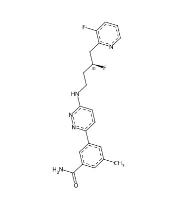 Cc1cc(C(N)=O)cc(-c2ccc(NCC[C@H](F)Cc3ncccc3F)nn2)c1